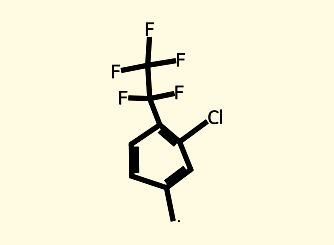 [CH2]c1ccc(C(F)(F)C(F)(F)F)c(Cl)c1